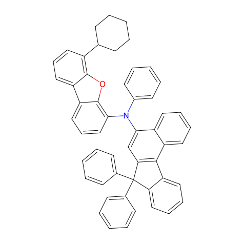 c1ccc(N(c2cc3c(c4ccccc24)-c2ccccc2C3(c2ccccc2)c2ccccc2)c2cccc3c2oc2c(C4CCCCC4)cccc23)cc1